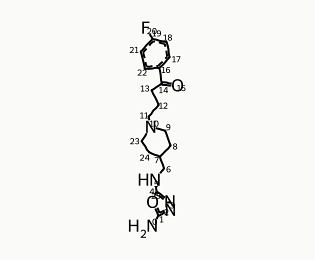 Nc1nnc(NCC2CCN(CCCC(=O)c3ccc(F)cc3)CC2)o1